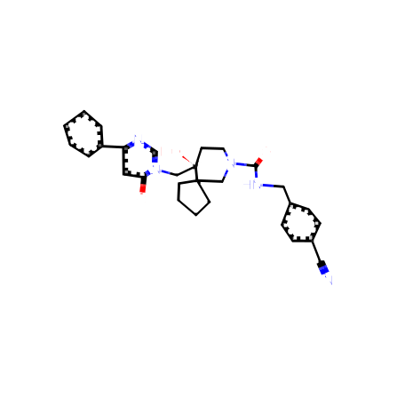 N#Cc1ccc(CNC(=O)N2CC[C@@](O)(Cn3cnc(-c4ccccc4)cc3=O)C3(CCCC3)C2)cc1